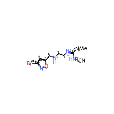 CN/C(=N/CCNCc1cc(Br)no1)NC#N